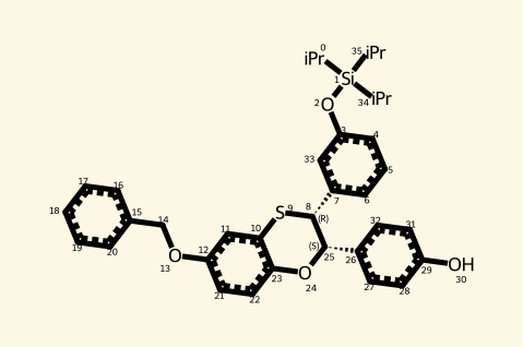 CC(C)[Si](Oc1cccc([C@H]2Sc3cc(OCc4ccccc4)ccc3O[C@H]2c2ccc(O)cc2)c1)(C(C)C)C(C)C